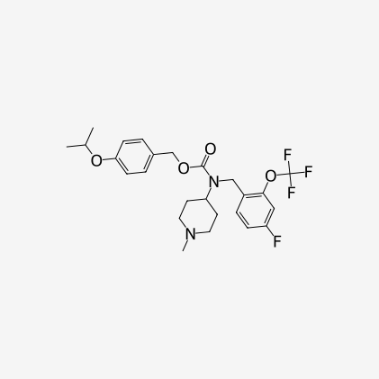 CC(C)Oc1ccc(COC(=O)N(Cc2ccc(F)cc2OC(F)(F)F)C2CCN(C)CC2)cc1